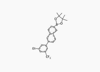 CCc1cc(-c2ccc3cc(B4OC(C)(C)C(C)(C)O4)ccc3c2)cc(C(F)(F)F)c1